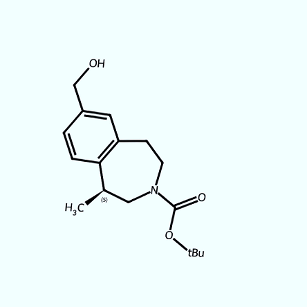 C[C@@H]1CN(C(=O)OC(C)(C)C)CCc2cc(CO)ccc21